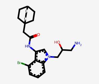 NCC(O)Cn1cc(NC(=O)CC23CCC(CC2)CC3)c2c(Br)cccc21